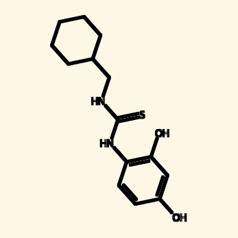 Oc1ccc(NC(=S)NCC2CCCCC2)c(O)c1